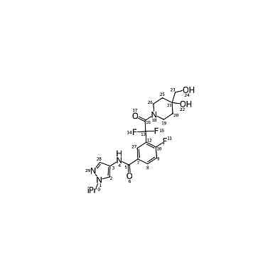 CC(C)n1cc(NC(=O)c2ccc(F)c(C(F)(F)C(=O)N3CCC(O)(CO)CC3)c2)cn1